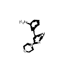 Nc1cccc(-c2cc(N3CCOCC3)ncn2)c1